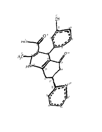 CC1=C(C(=O)O)C(c2cccc(O)c2)C2=C(CC(c3ccccn3)CC2=O)N1